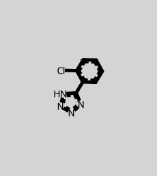 Clc1[c]cccc1-c1nnn[nH]1